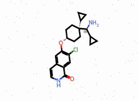 N[C@@H](C1CC1)[C@]1(C2CC2)CC[C@@H](Oc2cc3cc[nH]c(=O)c3cc2Cl)CC1